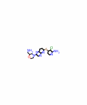 NCC1CN(c2cnc3nc(Sc4ccnc(N)c4Cl)ccc3n2)CCO1